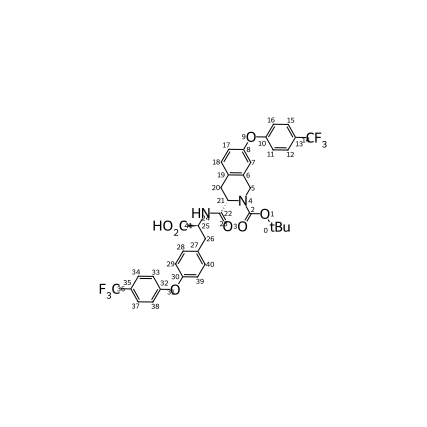 CC(C)(C)OC(=O)N1Cc2cc(Oc3ccc(C(F)(F)F)cc3)ccc2C[C@H]1C(=O)N[C@@H](Cc1ccc(Oc2ccc(C(F)(F)F)cc2)cc1)C(=O)O